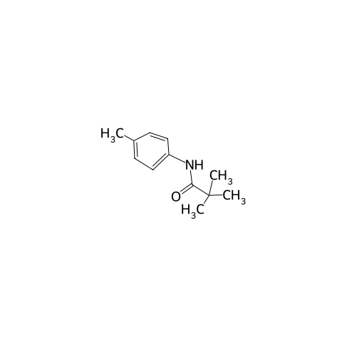 Cc1ccc(NC(=O)C(C)(C)C)cc1